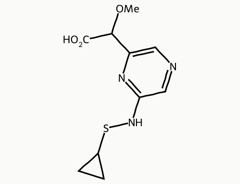 COC(C(=O)O)c1cncc(NSC2CC2)n1